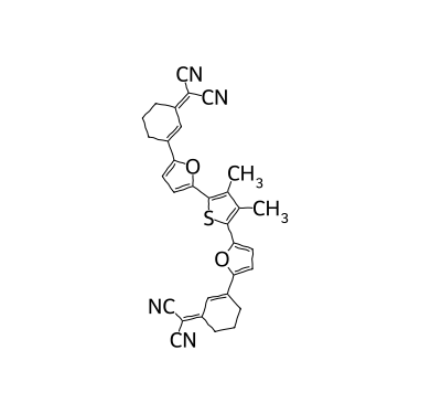 Cc1c(-c2ccc(C3=CC(=C(C#N)C#N)CCC3)o2)sc(-c2ccc(C3=CC(=C(C#N)C#N)CCC3)o2)c1C